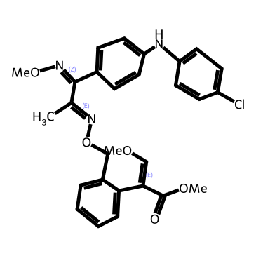 CO/C=C(/C(=O)OC)c1ccccc1CO/N=C(C)/C(=N\OC)c1ccc(Nc2ccc(Cl)cc2)cc1